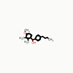 CCCCc1ccc(C(O)c2ccc(OC)c(C)c2C)cc1